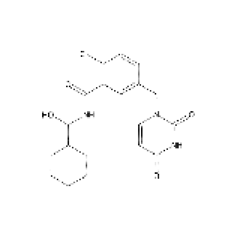 O=C(NC(O)C1CCCCC1)c1cc(Cn2ccc(=O)[nH]c2=O)ccc1Cl